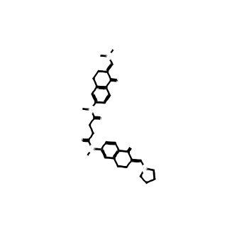 CN(C)/C=C1\CCc2cc(N(C)C(=O)CCC(=O)N(C)c3ccc4c(c3)CC/C(=C\N3CCCC3)C4=O)ccc2C1=O